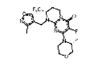 Cc1nocc1CN1c2nc(N3CCOC[C@H]3C)c(F)c(=O)n2CC[C@H]1C(F)(F)F